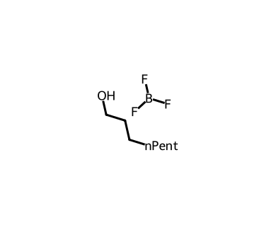 CCCCCCCCO.FB(F)F